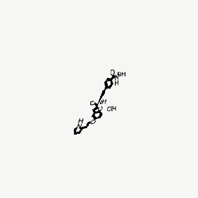 Cl.O=C(NO)c1ccc(C#CCNC(=O)c2cc3cc(OCCC4CCCN4)ccc3o2)cc1